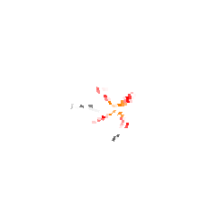 O=P([O-])([O-])[O-].[Bi+3].[Cd+2]